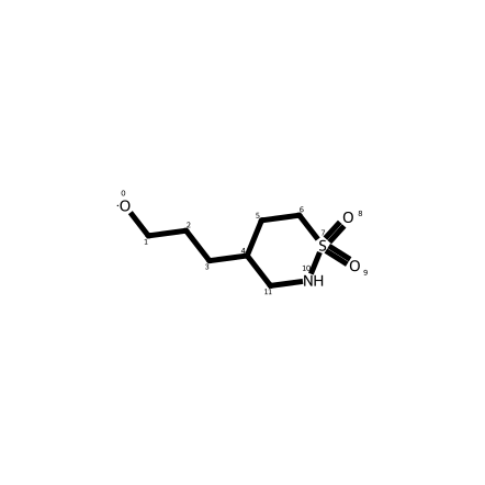 [O]CCCC1CCS(=O)(=O)NC1